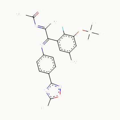 COC(=O)N=C(SC)C(=Nc1ccc(-c2noc(C)n2)cc1)c1cc(OC)cc(O[Si](C(C)C)(C(C)C)C(C)C)c1F